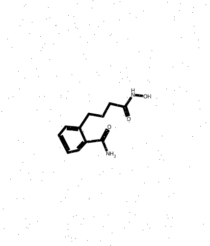 NC(=O)c1ccccc1C[CH]CC(=O)NO